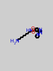 NCCCCCCCCCCNS(=O)(=O)c1ccc2ncnc(N3CCCCC3)c2c1